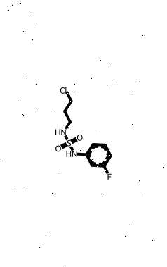 O=S(=O)(NCCCCl)Nc1cccc(F)c1